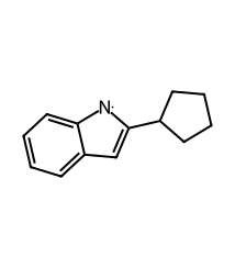 C1=C(C2CCCC2)[N]c2ccccc21